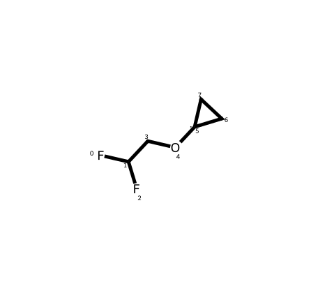 FC(F)CO[C]1CC1